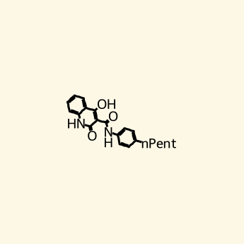 CCCCCc1ccc(NC(=O)c2c(O)c3ccccc3[nH]c2=O)cc1